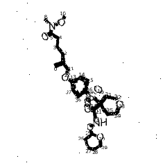 C=C(CCCC(=O)N(C)OC)COc1ccc(S(=O)(=O)C2(C(=O)NOC3CCCCO3)CCOCC2)cc1